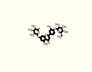 C[C@H]1OC(Oc2cc(O)c3c(=O)cc(-c4ccc(OC5O[C@H](CO)[C@@H](O)[C@H](O)[C@H]5O)c(O)c4)oc3c2)[C@H](O)[C@@H](O)[C@H]1O